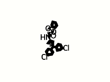 O=C(CS(=O)(=O)c1ccccc1)NC1CN(C(c2ccc(Cl)cc2)c2ccc(Cl)cc2)C1